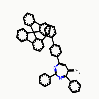 C=C1C=C(c2ccc(-c3ccccc3-c3cccc4c3C3(c5ccccc5-c5ccccc53)c3ccccc3-4)cc2)N=C(c2ccccc2)N=C1c1ccccc1